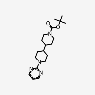 CC(C)(C)OC(=O)N1CCC(C2CCN(c3ncccn3)CC2)CC1